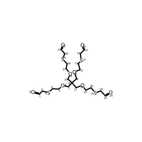 O=CCSCCOCC(COCCSCC=O)(COCCSCC=O)COCCSCC=O